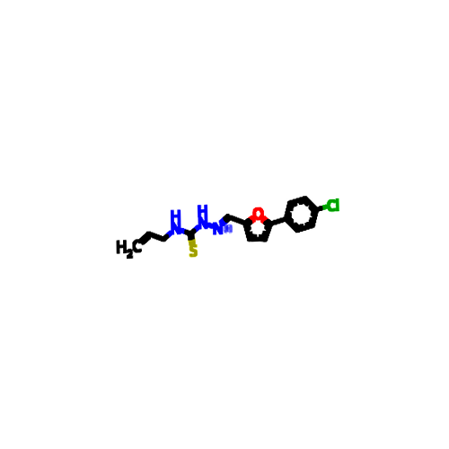 C=CCNC(=S)N/N=C/c1ccc(-c2ccc(Cl)cc2)o1